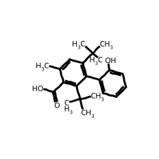 Cc1cc(C(C)(C)C)c(-c2ccccc2O)c(C(C)(C)C)c1C(=O)O